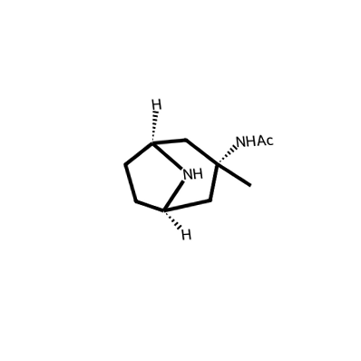 CC(=O)N[C@]1(C)C[C@H]2CC[C@@H](C1)N2